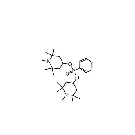 CN1C(C)(C)CC(OP(=O)(OC2CC(C)(C)N(C)C(C)(C)C2)c2ccccc2)CC1(C)C